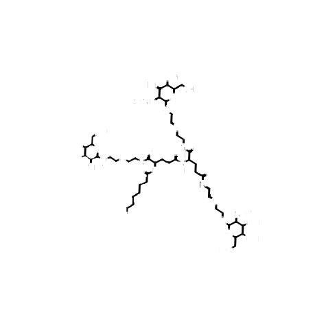 CC(=O)CCCCCCC(=O)NC(CCC(=O)NC(CCC(=O)NCCOCCOC1OC(CO)C(O)C(O)C1NC(C)=O)C(=O)NCCOCCOC1OC(CO)C(O)C(O)C1NC(C)=O)C(=O)NCCOCCOC1OC(CO)C(O)C(O)C1NC(C)=O